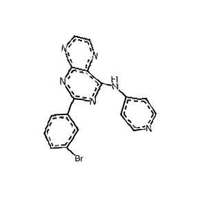 Brc1cccc(-c2nc(Nc3ccncc3)c3nccnc3n2)c1